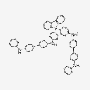 c1ccc(Nc2ccc(-c3ccc(Nc4ccc(C5(c6ccc(Nc7ccc(-c8ccc(Nc9ccccc9)cc8)cc7)cc6)c6ccccc6-c6ccccc65)cc4)cc3)cc2)cc1